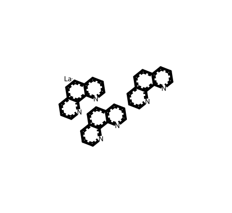 [La].c1cnc2c(c1)ccc1cccnc12.c1cnc2c(c1)ccc1cccnc12.c1cnc2c(c1)ccc1cccnc12